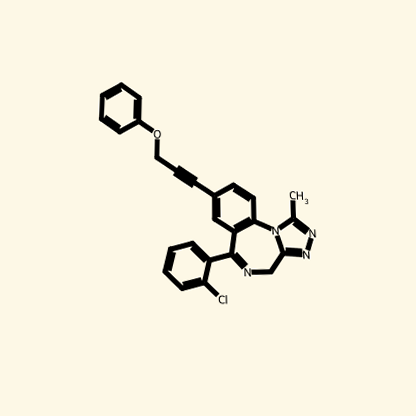 Cc1nnc2n1-c1ccc(C#CCOc3ccccc3)cc1C(c1ccccc1Cl)=NC2